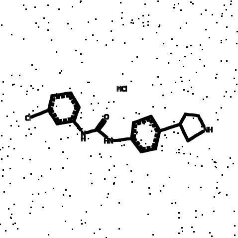 Cl.O=C(Nc1ccc(C2CCNC2)cc1)Nc1cccc(Cl)c1